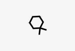 CC1(C)C[CH]C[CH]C1